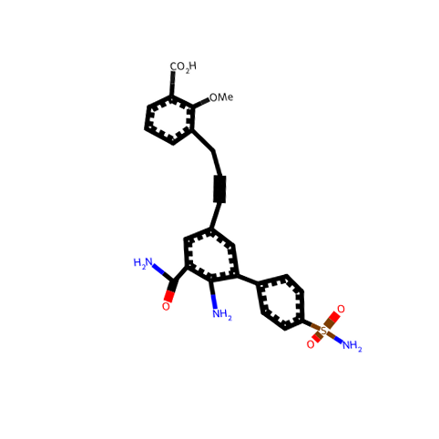 COc1c(CC#Cc2cc(C(N)=O)c(N)c(-c3ccc(S(N)(=O)=O)cc3)c2)cccc1C(=O)O